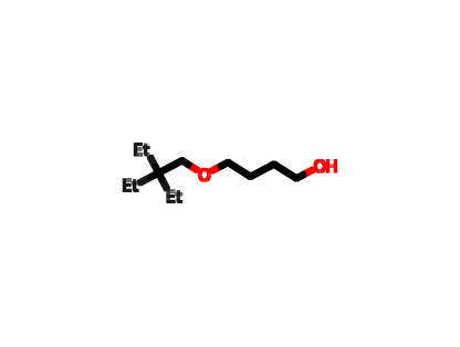 CCC(CC)(CC)COCCCCO